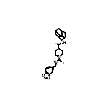 O=C(NC1C2CC3CC(C2)CC1C3)C1CCN(C(=O)NCc2ccc3c(c2)OCO3)CC1